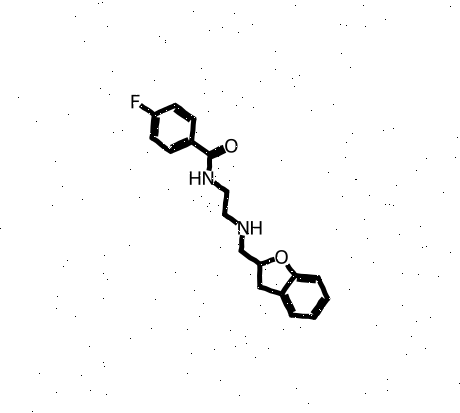 O=C(NCCNCC1Cc2ccccc2O1)c1ccc(F)cc1